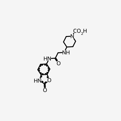 O=C(CNC1CCN(C(=O)O)CC1)Nc1ccc2[nH]c(=O)oc2c1